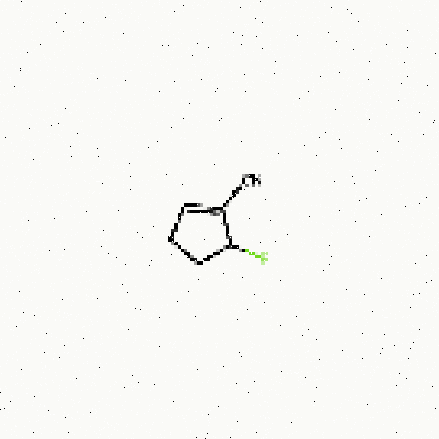 N#CC1=CCCC1F